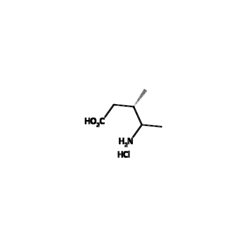 CC(N)[C@@H](C)CC(=O)O.Cl